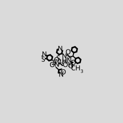 COC(=O)N[C@H](C(=O)Nc1cnccc1SC[C@@H](CO)N(Cc1cnoc1)S(=O)(=O)c1ccc2ncsc2c1)C(c1ccccc1)c1ccccc1